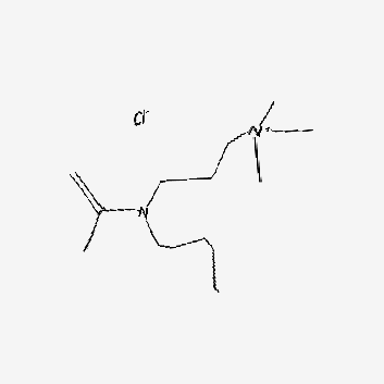 C=C(C)N(CCC)CCC[N+](C)(C)C.[Cl-]